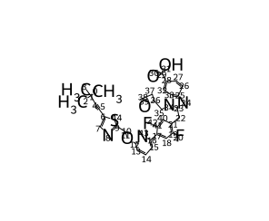 CC(C)(C)C#Cc1cnc(COc2cccc(-c3cc(F)c(Cc4nc5ccc(C(=O)O)cc5n4CC4CCO4)cc3F)n2)s1